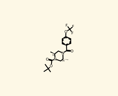 C[C@@H]1CN(C(=O)OC(C)(C)C)[C@@H](C)CN1C(=O)c1ccc(OC(F)(F)F)cc1